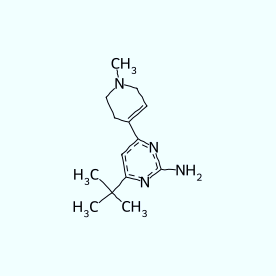 CN1CC=C(c2cc(C(C)(C)C)nc(N)n2)CC1